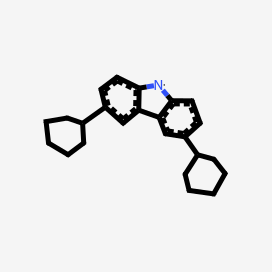 c1cc2c(cc1C1CCCCC1)-c1cc(C3CCCCC3)ccc1[N]2